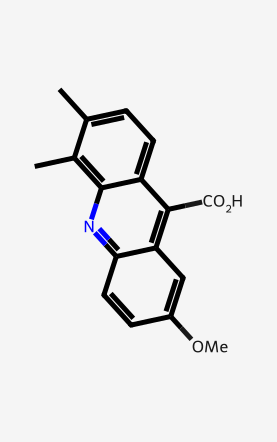 COc1ccc2nc3c(C)c(C)ccc3c(C(=O)O)c2c1